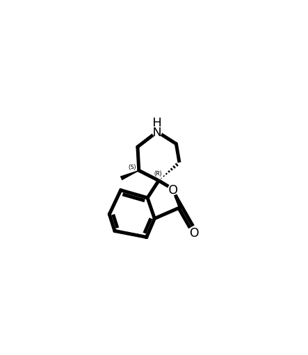 C[C@H]1CNCC[C@@]12OC(=O)c1ccccc12